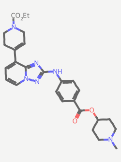 CCOC(=O)N1CC=C(c2cccn3nc(Nc4ccc(C(=O)OC5CCN(C)CC5)cc4)nc23)CC1